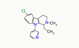 CCC1c2c(c3cc(Cl)ccc3n2-c2cccnc2)CCN1C